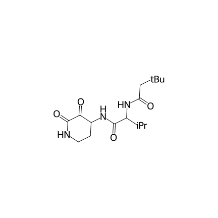 CC(C)C(NC(=O)CC(C)(C)C)C(=O)NC1CCNC(=O)C1=O